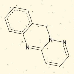 [C]1c2ccccc2N=C2C=CC=NN12